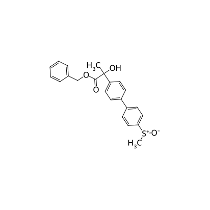 C[S+]([O-])c1ccc(-c2ccc(C(C)(O)C(=O)OCc3ccccc3)cc2)cc1